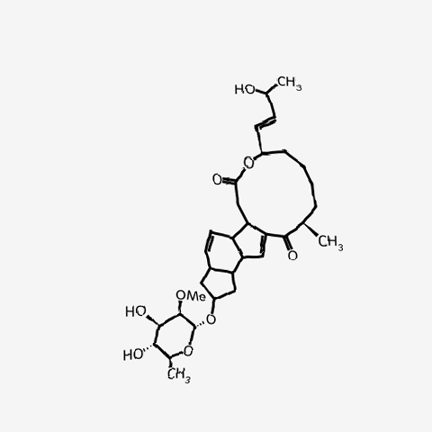 CO[C@H]1[C@H](OC2CC3C=CC4C5CC(=O)O[C@@H](/C=C/C(C)O)CCCC[C@@H](C)C(=O)C5=CC4C3C2)O[C@@H](C)[C@H](O)[C@H]1O